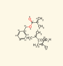 C=C(C)C(=O)O.C=C(C)C(=O)OCc1ccccc1.C=C(CC)C(=O)O